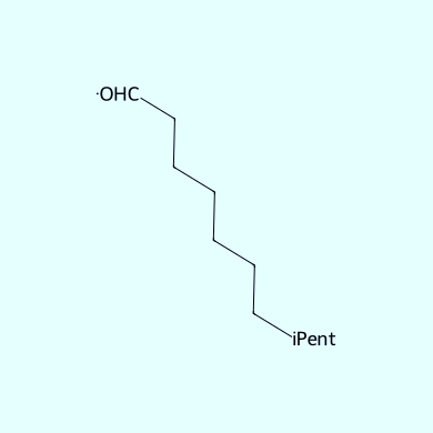 CCCC(C)CCCCCC[C]=O